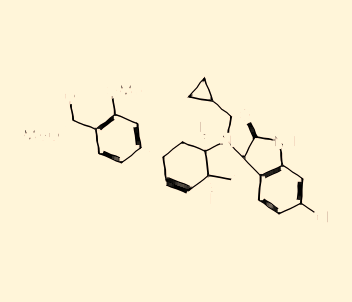 COc1cc([C@H]2C#C[C@@H]3C[C@@]4(C(=O)Nc5cc(Cl)ccc54)N(CC4CC4)[C@@H]3C2)ccc1[C@@H](O)OC